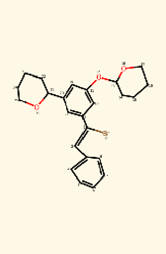 BrC(=Cc1cc[c]cc1)c1cc(OC2CCCCO2)cc(C2CCCCO2)c1